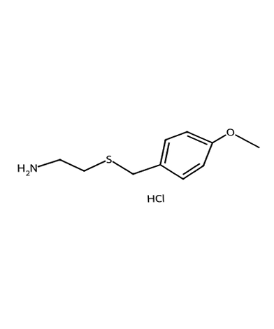 COc1ccc(CSCCN)cc1.Cl